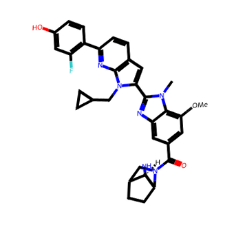 COc1cc(C(=O)N2CC3CCC2[C@@H]3N)cc2nc(-c3cc4ccc(-c5ccc(O)cc5F)nc4n3CC3CC3)n(C)c12